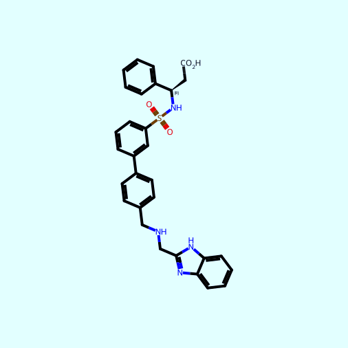 O=C(O)C[C@@H](NS(=O)(=O)c1cccc(-c2ccc(CNCc3nc4ccccc4[nH]3)cc2)c1)c1ccccc1